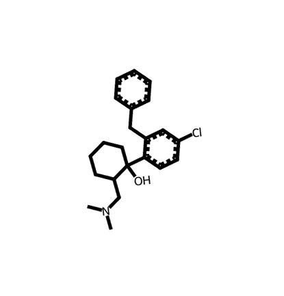 CN(C)CC1CCCCC1(O)c1ccc(Cl)cc1Cc1ccccc1